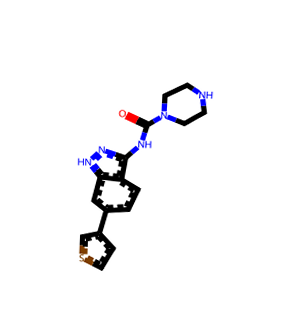 O=C(Nc1n[nH]c2cc(-c3ccsc3)ccc12)N1CCNCC1